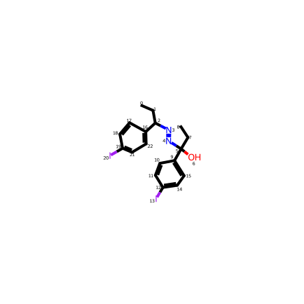 CCC(N=NC(O)(CC)c1ccc(I)cc1)c1ccc(I)cc1